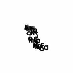 Cc1c(C(=O)N[C@H]2CCC[C@H](C)C(=O)Nc3cc(-c4ccn[nH]4)ccc3-c3ccnc2c3)nnn1-c1cccc(Cl)c1F